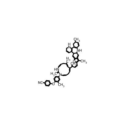 C=C(/C=C\c1oc2c(c1C)=CC1NC3=C(CC(C)C=C3)C3=C(C=CCN3)C1C=2)C1=C/CC=CN(c2ccc(Oc3ccc(C#N)cc3)c(C)c2)C(=C)N/C=C\C\C(C)=C\1